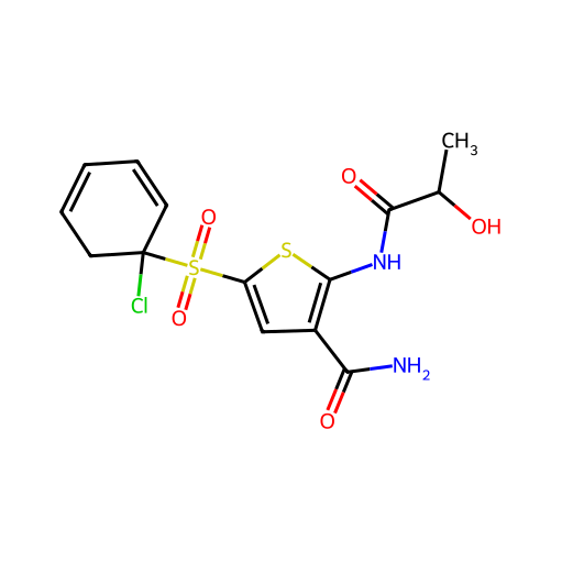 CC(O)C(=O)Nc1sc(S(=O)(=O)C2(Cl)C=CC=CC2)cc1C(N)=O